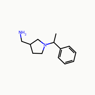 CC(c1ccccc1)N1CCC(CN)C1